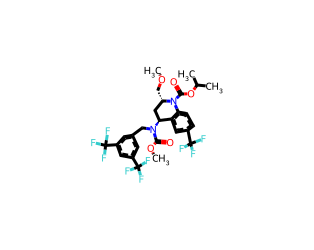 COC[C@H]1C[C@H](N(Cc2cc(C(F)(F)F)cc(C(F)(F)F)c2)C(=O)OC)c2cc(C(F)(F)F)ccc2N1C(=O)OC(C)C